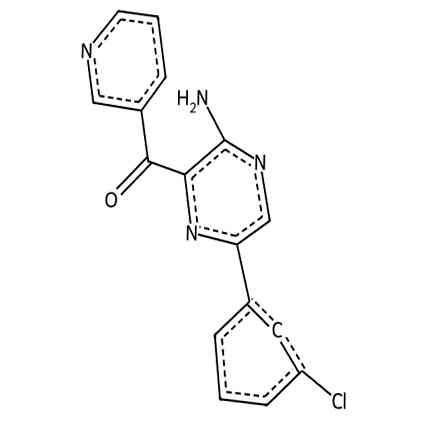 Nc1ncc(-c2cccc(Cl)c2)nc1C(=O)c1cccnc1